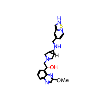 COc1cnc2cccc([C@@H](O)CN3CC4[C@@H](C3)[C@@H]4NCC3=CC4=CNSN4C=C3)c2n1